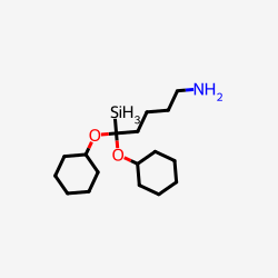 NCCCCC([SiH3])(OC1CCCCC1)OC1CCCCC1